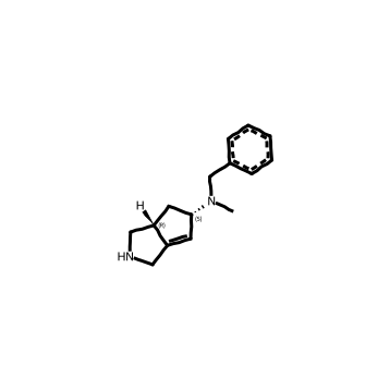 CN(Cc1ccccc1)[C@@H]1C=C2CNC[C@@H]2C1